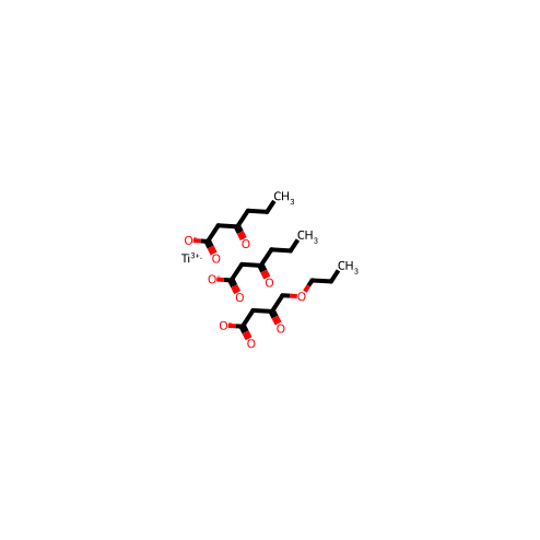 CCCC(=O)CC(=O)[O-].CCCC(=O)CC(=O)[O-].CCCOCC(=O)CC(=O)[O-].[Ti+3]